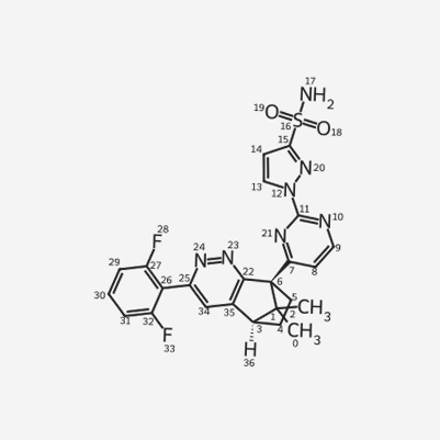 CC1(C)[C@H]2CC[C@@]1(c1ccnc(-n3ccc(S(N)(=O)=O)n3)n1)c1nnc(-c3c(F)cccc3F)cc12